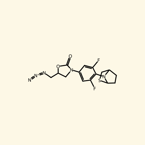 [N-]=[N+]=NCC1CN(c2cc(F)c(N3C4CCC3SC4)c(F)c2)C(=O)O1